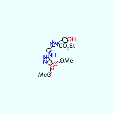 CCOC(=O)[C@H](Cc1ccc(O)cc1)n1cc(-c2cccc(Nc3ncnc4cc(OCCOC)c(OCCOC)cc34)c2)nn1